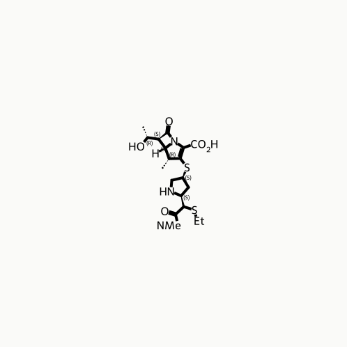 CCSC(C(=O)NC)[C@@H]1C[C@H](SC2=C(C(=O)O)N3C(=O)[C@H]([C@@H](C)O)[C@H]3[C@H]2C)CN1